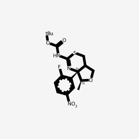 C[C@@H]1OCC2CSC(NC(=O)OC(C)(C)C)=N[C@]21c1cc([N+](=O)[O-])ccc1F